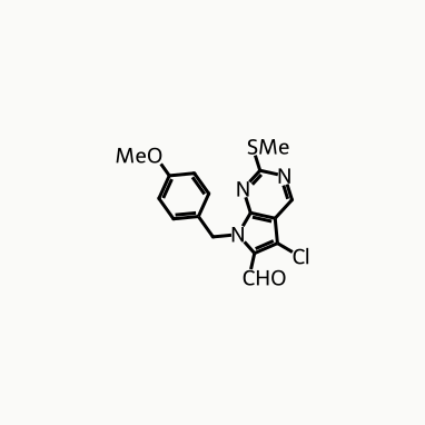 COc1ccc(Cn2c(C=O)c(Cl)c3cnc(SC)nc32)cc1